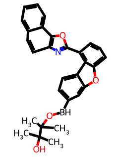 CC(C)(O)C(C)(C)OBc1ccc2c(c1)oc1cccc(-c3nc4ccc5ccccc5c4o3)c12